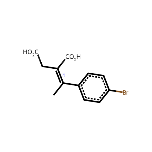 C/C(=C(\CC(=O)O)C(=O)O)c1ccc(Br)cc1